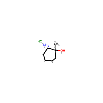 CC1(O)CCCCC1.Cl.N